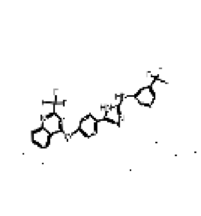 FC(F)(F)c1cccc(Nc2nnc(-c3ccc(Oc4cc(C(F)(F)F)nc5ccccc45)cc3)[nH]2)c1